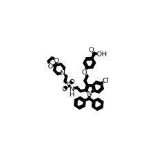 O=C(O)c1ccc(OCCc2c(CCNS(=O)(=O)CCN3CCC4(CC3)OCCO4)n(C(c3ccccc3)c3ccccc3)c3ccc(Cl)cc23)cc1